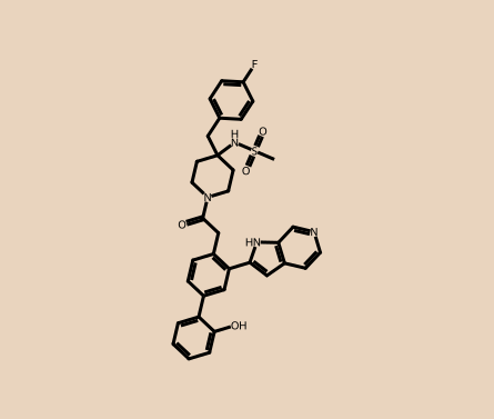 CS(=O)(=O)NC1(Cc2ccc(F)cc2)CCN(C(=O)Cc2ccc(-c3ccccc3O)cc2-c2cc3ccncc3[nH]2)CC1